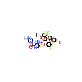 COc1c([C@H]2[C@H](C(=O)Nc3cc(C(=O)N4CCNCC4)ncc3F)O[C@@](C)(C(F)(F)F)[C@H]2C)ccc(F)c1F